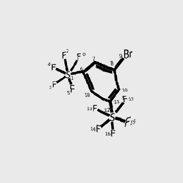 FS(F)(F)(F)(F)c1cc(Br)cc(S(F)(F)(F)(F)F)c1